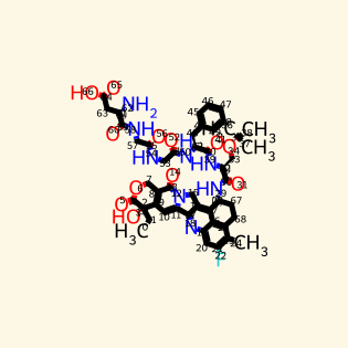 CC[C@@]1(O)C(=O)OCc2c1cc1n(c2=O)Cc2c-1nc1cc(F)c(C)c3c1c2[C@@H](NC(=O)[C@H](COC(C)(C)C)NC(=O)[C@H](Cc1ccccc1)NC(=O)CNC(=O)CNC(=O)[C@@H](N)CC(=O)O)CC3